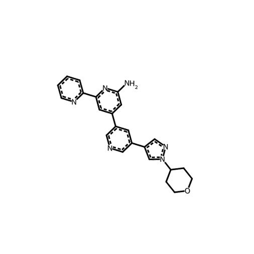 Nc1cc(-c2cncc(-c3cnn(C4CCOCC4)c3)c2)cc(-c2ccccn2)n1